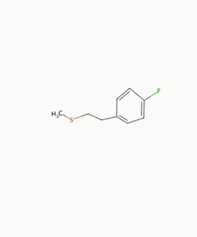 CSCCc1ccc(F)cc1